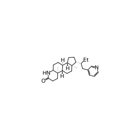 CCC(Cc1cccnc1)[C@H]1CC[C@H]2[C@@H]3CCC4NC(=O)CC[C@]4(C)[C@H]3CC[C@]12C